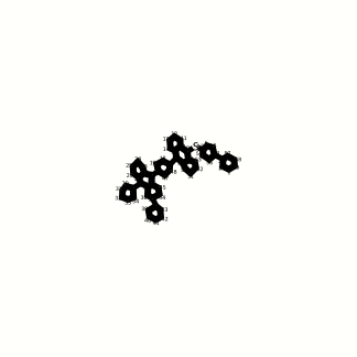 c1ccc(-c2ccc(Sc3c4ccccc4c(-c4ccc(-c5c6ccccc6c(-c6ccccc6)c6cc(-c7ccccc7)ccc56)cc4)c4ccccc34)cc2)cc1